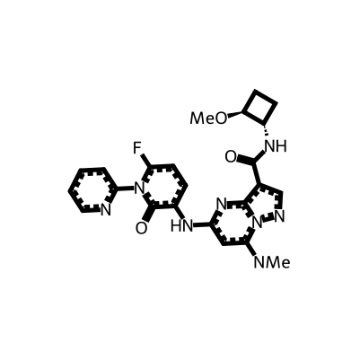 CNc1cc(Nc2ccc(F)n(-c3ccccn3)c2=O)nc2c(C(=O)N[C@H]3CC[C@@H]3OC)cnn12